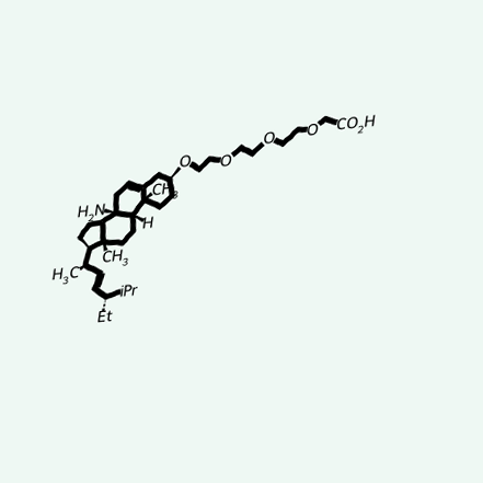 CC[C@H](/C=C/[C@@H](C)[C@H]1CCC2[C@]1(C)CC[C@H]1[C@@]3(C)CC[C@H](OCCOCCOCCOCC(=O)O)CC3=CC[C@@]21N)C(C)C